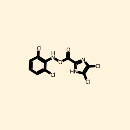 O=C(ONc1c(Cl)cccc1Cl)c1nc(Cl)c(Cl)[nH]1